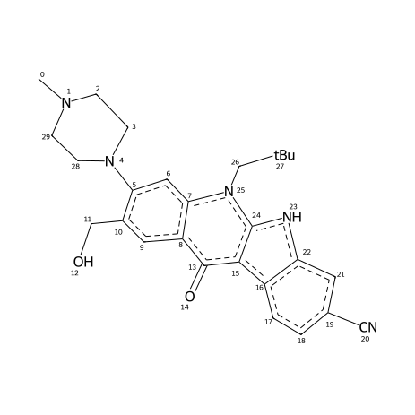 CN1CCN(c2cc3c(cc2CO)c(=O)c2c4ccc(C#N)cc4[nH]c2n3CC(C)(C)C)CC1